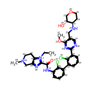 CCn1c(C(=O)Nc2cccc(-c3cccc(-c4ncc(CN[C@@H]5CCOC[C@H]5O)c(OC)n4)c3Cl)c2Cl)nc2c1CCN(C)C2